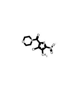 Cc1c([N+](=O)[O-])sc(C(=O)N2CCOCC2)c1Cl